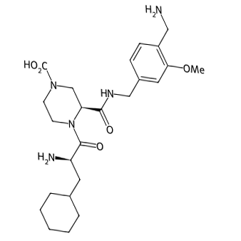 COc1cc(CNC(=O)[C@@H]2CN(C(=O)O)CCN2C(=O)[C@H](N)CC2CCCCC2)ccc1CN